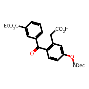 CCCCCCCCCCOc1ccc(C(=O)c2cccc(C(=O)OCC)c2)c(CC(=O)O)c1